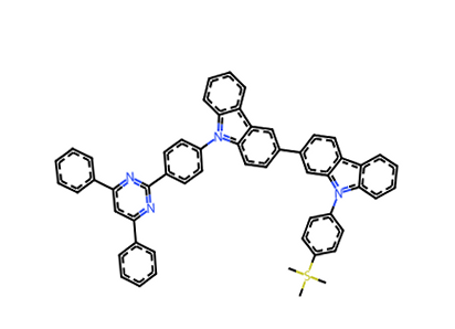 CS(C)(C)c1ccc(-n2c3ccccc3c3ccc(-c4ccc5c(c4)c4ccccc4n5-c4ccc(-c5nc(-c6ccccc6)cc(-c6ccccc6)n5)cc4)cc32)cc1